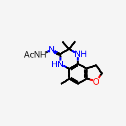 CC(=O)N/N=C1\Nc2c(C)cc3c(c2NC1(C)C)CCO3